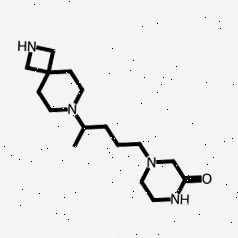 CC(CCCN1CCNC(=O)C1)N1CCC2(CC1)CNC2